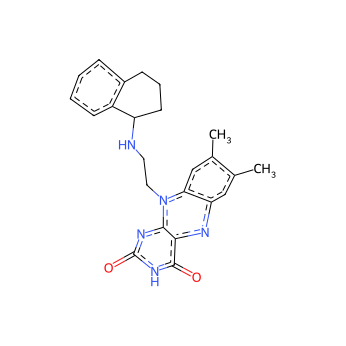 Cc1cc2nc3c(=O)[nH]c(=O)nc-3n(CCNC3CCCc4ccccc43)c2cc1C